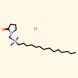 CCCCCCCCCCCCCC[N+](C)(C)CN1CCCC1=O.[Cl-]